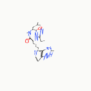 CCc1noc(C(CC(C)C)N(C)C(=O)CCCCCc2nccc3[nH]c(C)nc23)n1